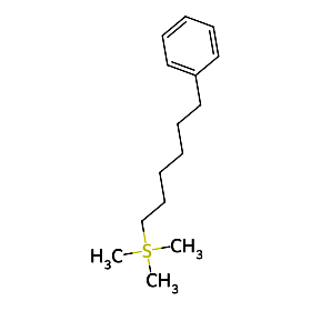 CS(C)(C)CCCCCCc1ccccc1